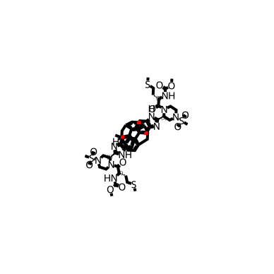 COC(=O)N[C@@H](CCSC)C(=O)N1CCN(S(C)(=O)=O)C[C@H]1c1nc2cc(-c3cc4ccc3CCc3ccc(c(-c5ccc6[nH]c([C@@H]7CN(S(C)(=O)=O)CCN7C(=O)[C@H](CCSC)NC(=O)OC)nc6c5)c3)C[C@H]4C)ccc2[nH]1